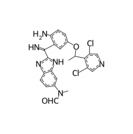 CC(Oc1ccc(N)c(C(=N)c2nc3ccc(N(C)C=O)cc3[nH]2)c1)c1c(Cl)cncc1Cl